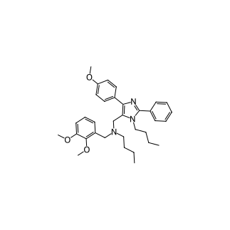 CCCCN(Cc1cccc(OC)c1OC)Cc1c(-c2ccc(OC)cc2)nc(-c2ccccc2)n1CCCC